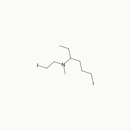 CCC(CCCI)N(C)CCI